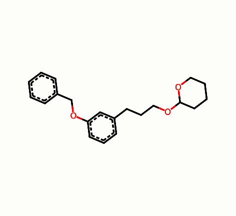 c1ccc(COc2cccc(CCCOC3CCCCO3)c2)cc1